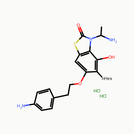 CCCCCCc1c(OCCc2ccc(N)cc2)cc2sc(=O)n(C(C)N)c2c1O.Cl.Cl